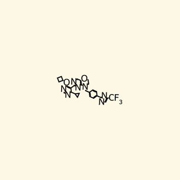 Cn1cc(C(F)(F)F)nc1-c1ccc(CN2CCOc3cnc(-c4c(OC5CCC5)ncnc4C4CC4)nc32)cc1